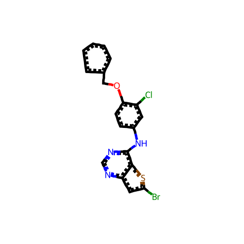 Clc1cc(Nc2ncnc3cc(Br)sc23)ccc1OCc1ccccc1